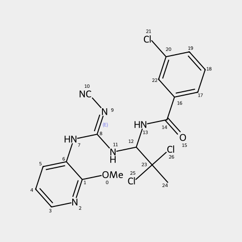 COc1ncccc1N/C(=N\C#N)NC(NC(=O)c1cccc(Cl)c1)C(C)(Cl)Cl